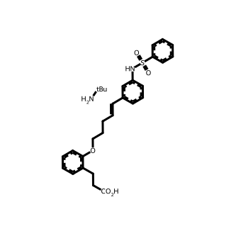 CC(C)(C)N.O=C(O)CCc1ccccc1OCCC/C=C/c1cccc(NS(=O)(=O)c2ccccc2)c1